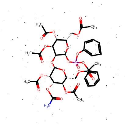 CC(=O)OC[C@@H]1O[C@@H](OP(=O)(Oc2ccccc2)Oc2ccccc2)[C@@H](O[C@H]2O[C@H](COC(C)=O)[C@@H](OC(C)=O)[C@H](OC(N)=O)[C@@H]2OC(C)=O)[C@@H](OC(C)=O)[C@@H]1OC(C)=O